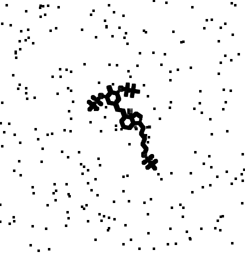 C=C1[C@H](O[Si](C)(C)C(C)(C)C)CC(=C/C=C2\CCC[C@]3(C)[C@@H]([C@H](C)CCCCO[Si](C)(C)C(C)(C)C)CC[C@@H]23)C[C@H]1O[Si](C)(C)C(C)(C)C